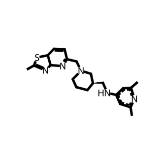 CC1=NC2N=C(CN3CCC[C@H](CNc4cc(C)nc(C)c4)C3)C=CC2S1